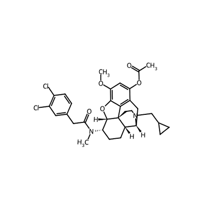 COc1cc(OC(C)=O)c2c3c1O[C@H]1[C@@H](N(C)C(=O)Cc4ccc(Cl)c(Cl)c4)CC[C@H]4[C@@H](C2)N(CC2CC2)CC[C@@]341